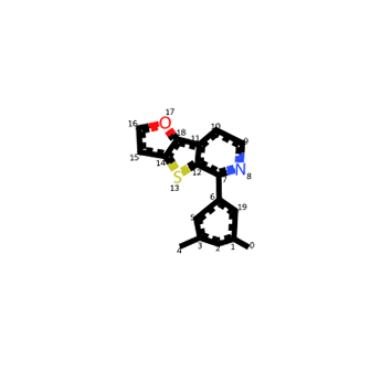 Cc1cc(C)cc(-c2nccc3c2sc2ccoc23)c1